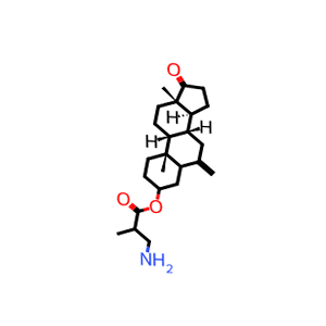 C=C1C[C@@H]2[C@@H](CC[C@]3(C)C(=O)CC[C@@H]23)[C@@]2(C)CCC(OC(=O)C(C)CN)CC12